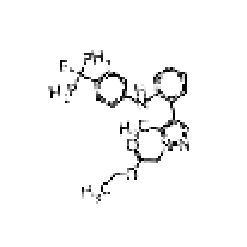 CCOC(=O)Cn1ncc(-c2ccccc2Nc2ccc(C(F)(P)P)cc2)c1C